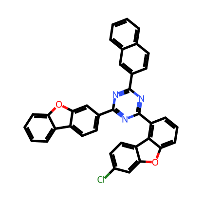 Clc1ccc2c(c1)oc1cccc(-c3nc(-c4ccc5ccccc5c4)nc(-c4ccc5c(c4)oc4ccccc45)n3)c12